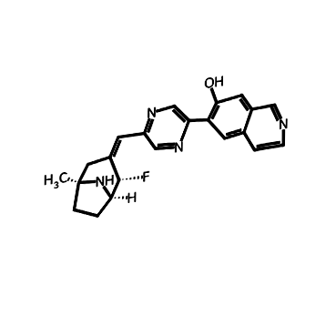 C[C@@]12CC[C@@H](N1)[C@@H](F)/C(=C\c1cnc(-c3cc4ccncc4cc3O)cn1)C2